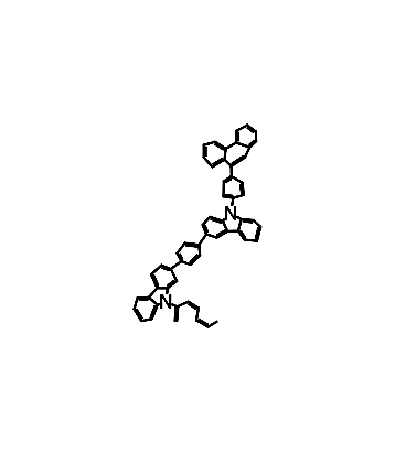 C=C(/C=C\C=C/C)n1c2ccccc2c2ccc(-c3ccc(-c4ccc5c(c4)c4ccccc4n5-c4ccc(-c5cc6ccccc6c6ccccc56)cc4)cc3)cc21